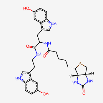 O=C(CCCC[C@@H]1SC[C@@H]2NC(=O)N[C@@H]21)NC(Cc1c[nH]c2ccc(O)cc12)C(=O)NCCc1c[nH]c2ccc(O)cc12